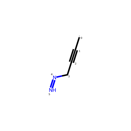 [CH2]C#CCN=N